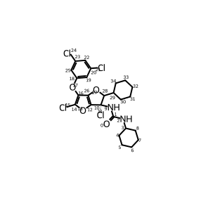 O=C(NC1CCCCC1)N[C@@]1(Cl)c2oc(Cl)c(Oc3cc(Cl)cc(Cl)c3)c2OC1C1CCCCC1